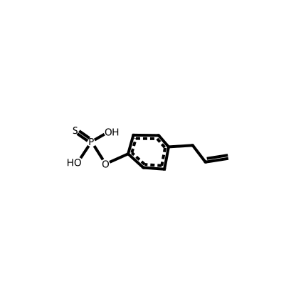 C=CCc1ccc(OP(O)(O)=S)cc1